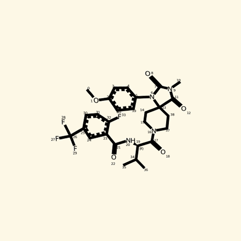 COc1ccc(N2C(=O)N(C)C(=O)C23CCN(C(=O)[C@H](NC(=O)c2cc(C(F)(F)F)ccc2F)C(C)C)CC3)cc1